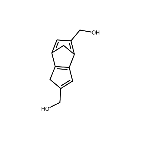 OCC1=CC2=C(C1)C1=CC(CO)=C2C1